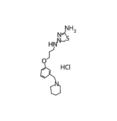 Cl.NC1=NN(NCCCOc2cccc(CN3CCCCC3)c2)CS1